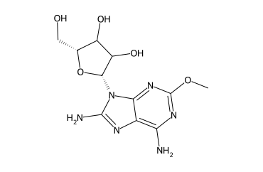 COc1nc(N)c2nc(N)n([C@@H]3O[C@H](CO)C(O)C3O)c2n1